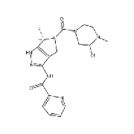 CCC1CN(C(=O)N2Cc3c(NC(=O)c4ccccn4)n[nH]c3[C@@H]2C)CCN1C